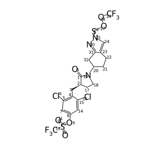 O=C1[C@H](Cc2c(Cl)cc(OS(=O)(=O)C(F)(F)F)cc2Cl)CCN1C1CCc2cn(SOOC(F)(F)F)nc2C1